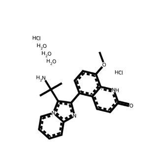 COc1ccc(-c2nc3ccccn3c2C(C)(C)N)c2ccc(=O)[nH]c12.Cl.Cl.O.O.O